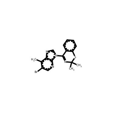 Cc1c(Br)cnc2c1ncn2C1=NC(C)(C)Sc2ccccc21